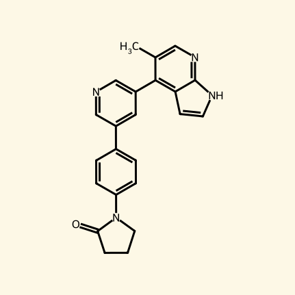 Cc1cnc2[nH]ccc2c1-c1cncc(-c2ccc(N3CCCC3=O)cc2)c1